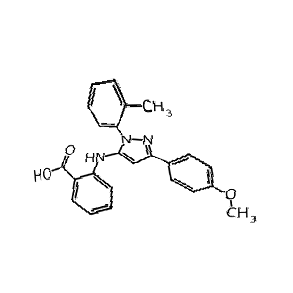 COc1ccc(-c2cc(Nc3ccccc3C(=O)O)n(-c3ccccc3C)n2)cc1